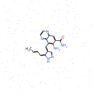 C/C=C/C=c1/[nH]nc/c1=C\c1c(N)c(C(N)=O)cc2nccnc12